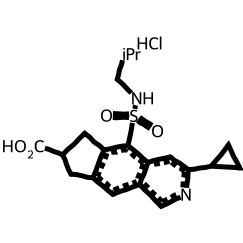 CC(C)CNS(=O)(=O)c1c2c(cc3cnc(C4CC4)cc13)CC(C(=O)O)C2.Cl